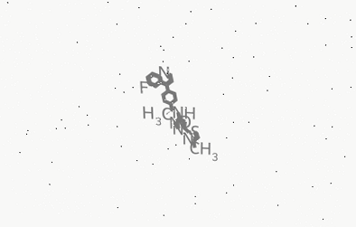 Cc1csc(-c2nnc(N[C@H](C)C3CCC(c4ccnc5ccc(F)cc45)CC3)o2)n1